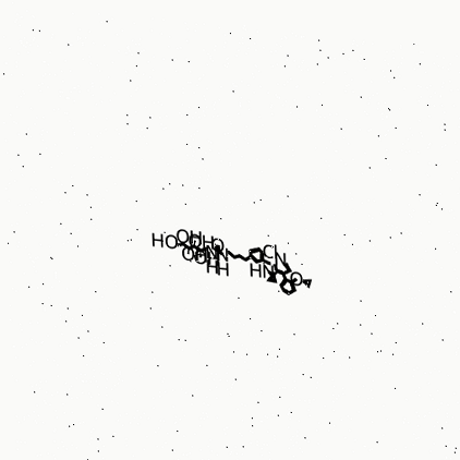 O=C(NCCCCc1ccc(Cl)c(CNC2(c3cnccc3-c3ccccc3OC3CC3)CC2)c1)NC[C@@H](O)[C@H](O)[C@@H](O)[C@@H](O)CO